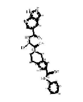 CC[C@@H](NC(=O)c1cnc2[nH]ncc2c1)C(=O)N1CCc2sc(C(=O)Nc3ccccc3)cc2C1